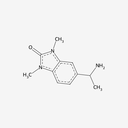 CC(N)c1ccc2c(c1)n(C)c(=O)n2C